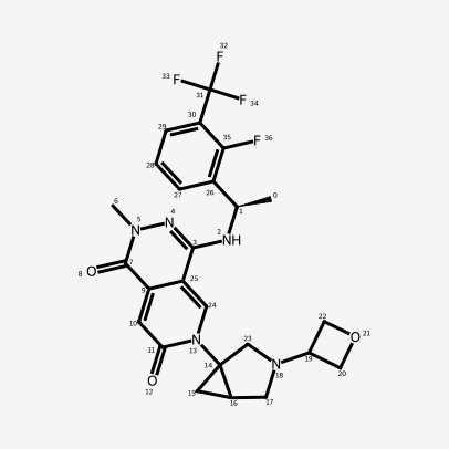 C[C@@H](Nc1nn(C)c(=O)c2cc(=O)n(C34CC3CN(C3COC3)C4)cc12)c1cccc(C(F)(F)F)c1F